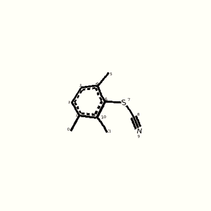 Cc1ccc(C)c(SC#N)c1C